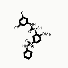 COc1ccc(S(=O)(=O)Nc2ccccc2)cc1N(S)C(=O)Nc1cc(Cl)cc(Cl)c1